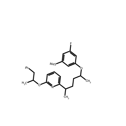 CSc1cc(F)cc(OC(C)CCC(C)c2cccc(OC(C)CC(C)C)n2)c1